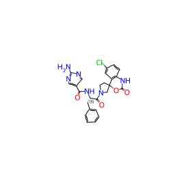 Nc1ncc(C(=O)N[C@@H](Cc2ccccc2)C(=O)N2CCC3(C2)OC(=O)Nc2ccc(Cl)cc23)cn1